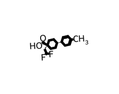 CC1=CCC([C@H]2CC[C@](CC(F)F)(C(=O)O)CC2)C=C1